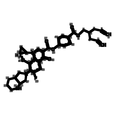 C#CCC(CC#C)COC(=O)c1ccc(OC(=O)c2cn(C3CC3)c3c(OC)c(N4CC5CCCNC5C4)c(F)cc3c2=O)cc1